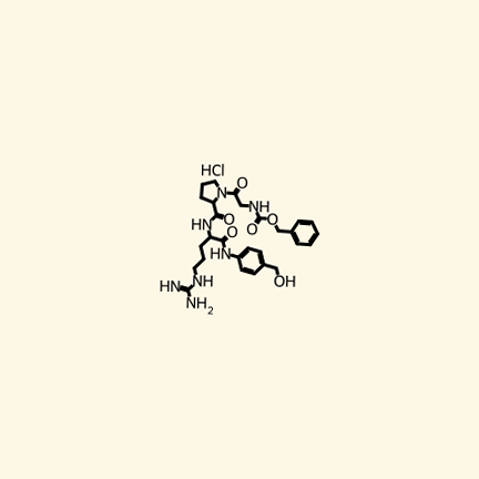 Cl.N=C(N)NCCCC(NC(=O)C1CCCN1C(=O)CNC(=O)OCc1ccccc1)C(=O)Nc1ccc(CO)cc1